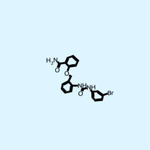 NC(=O)c1ccccc1OCc1ccccc1NC(=O)Nc1cccc(Br)c1